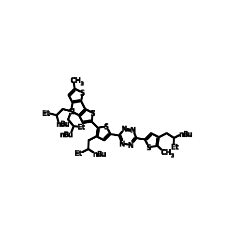 CCCCC(CC)Cc1cc(-c2nnc(-c3cc(CC(CC)CCCC)c(-c4cc5c(s4)-c4sc(C)cc4[Si]5(CC(CC)CCCC)CC(CC)CCCC)s3)nn2)sc1C